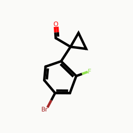 O=CC1(c2ccc(Br)cc2F)CC1